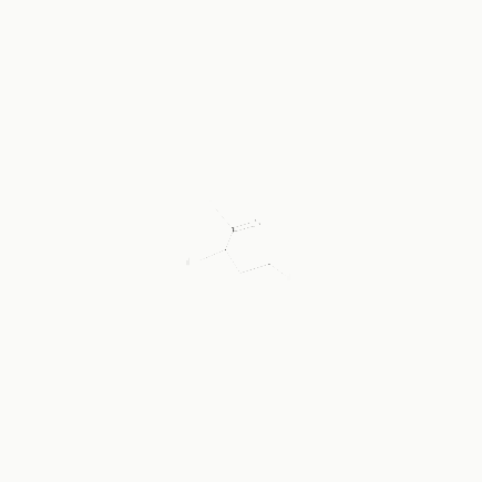 CCCC(CCC(C)C)C(=N)Cl